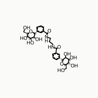 O=C(NCCCNC(=O)c1cccc([C@H]2O[C@H](CO)[C@@H](O)[C@H](O)[C@@H]2O)c1)c1cccc([C@H]2O[C@H](CO)[C@@H](O)[C@H](O)C2O)c1